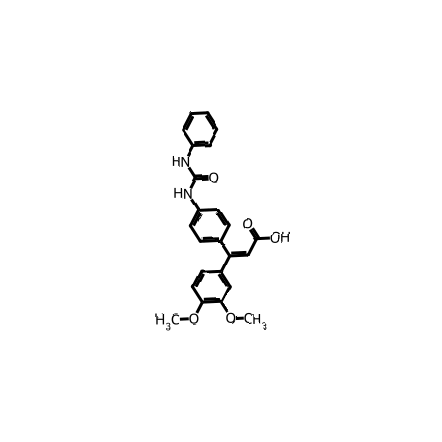 COc1ccc(C(=CC(=O)O)c2ccc(NC(=O)Nc3ccccc3)cc2)cc1OC